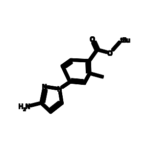 Cc1cc(-n2ccc(N)n2)ccc1C(=O)OC(C)(C)C